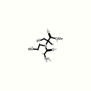 COC(=O)C(C)(CC(C)C)N(CCC(C)(C)C)C(=O)CN